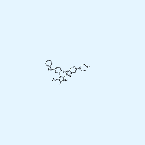 CC(=O)c1c(C)[nH]c(-c2nc3cc(N4CCN(C)CC4)ccc3[nH]2)c1-c1cccc(Nc2ccccc2)c1